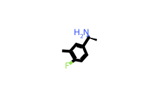 Cc1cc([C@H](C)N)ccc1F